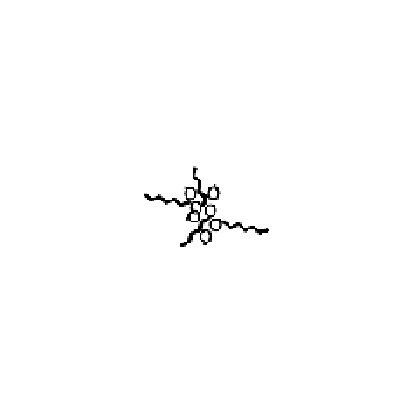 CCCCCCCOC(OC(OCCCCCCC)C(OC)=C(CCC)OC)C(OC)=C(CCC)OC